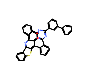 c1ccc(-c2cccc(-c3nc(-c4ccccc4)nc(-c4ccccc4-c4c5ccccc5nc5c4sc4ccccc45)n3)c2)cc1